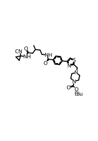 CC(CCNC(=O)c1ccc(-c2csc(CN3CCN(C(=O)OC(C)(C)C)CC3)n2)cc1)CC(=O)NC1(C#N)CC1